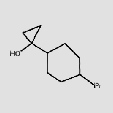 CC(C)C1CCC(C2(O)CC2)CC1